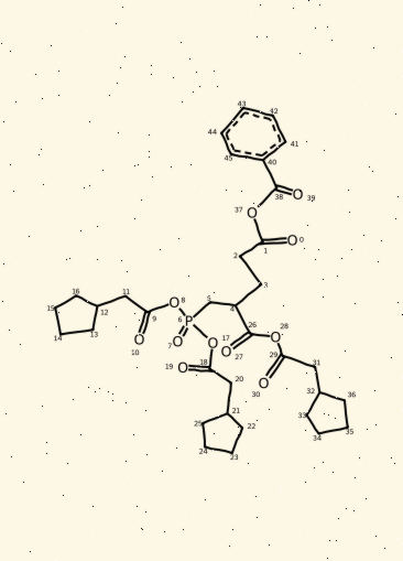 O=C(CCC(CP(=O)(OC(=O)CC1CCCC1)OC(=O)CC1CCCC1)C(=O)OC(=O)CC1CCCC1)OC(=O)c1ccccc1